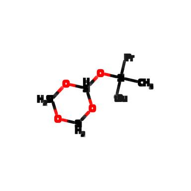 CC(C)[Si](C)(O[SiH]1O[SiH2]O[SiH2]O1)C(C)(C)C